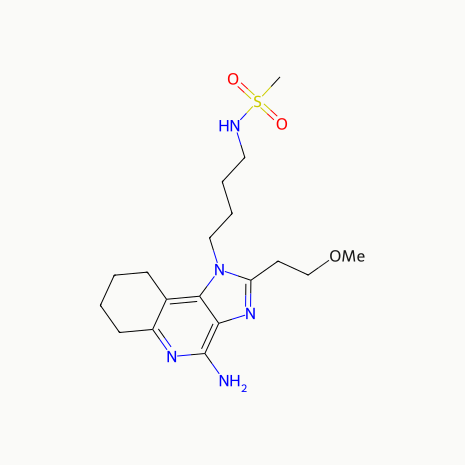 COCCc1nc2c(N)nc3c(c2n1CCCCNS(C)(=O)=O)CCCC3